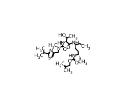 C=C(C)COC(=O)N[C@@H](CC)CC[C@H](CC)NC(=O)[C@@H](NC(=O)N(C)Cc1csc(C(C)C)n1)C(C)O